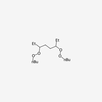 CCCCOOC(CC)CCC(CC)OOCCCC